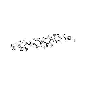 C/C=C/c1ccc(-c2ccc(-c3ccc(COc4ccc(C5CO5)c(F)c4F)cc3)c(F)c2F)cc1